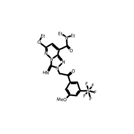 CCOc1cc(C(=O)N(CC)CC)c2nn(CC(=O)c3cc(OC)cc(S(F)(F)(F)(F)F)c3)c(=N)n2n1